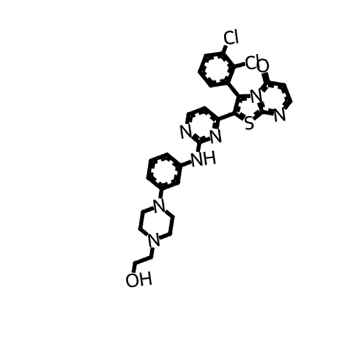 O=c1ccnc2sc(-c3ccnc(Nc4cccc(N5CCN(CCO)CC5)c4)n3)c(-c3cccc(Cl)c3Cl)n12